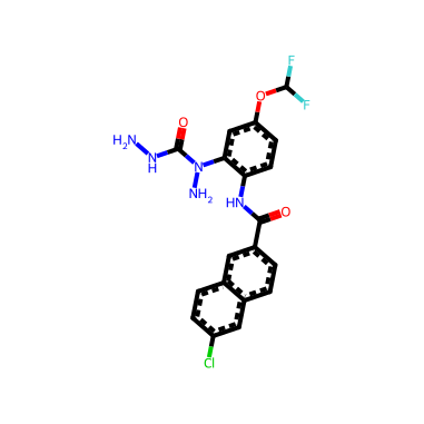 NNC(=O)N(N)c1cc(OC(F)F)ccc1NC(=O)c1ccc2cc(Cl)ccc2c1